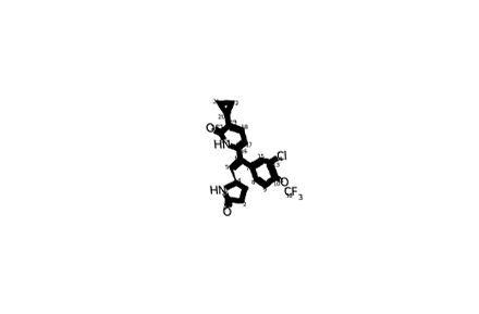 O=C1CC[C@H](/C=C(\c2ccc(OC(F)(F)F)c(Cl)c2)c2ccc(C3CC3)c(=O)[nH]2)N1